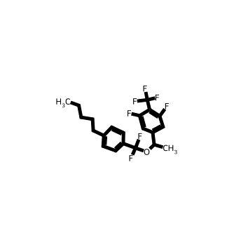 CCCCCc1ccc(C(F)(F)OC(C)c2cc(F)c(C(F)(F)F)c(F)c2)cc1